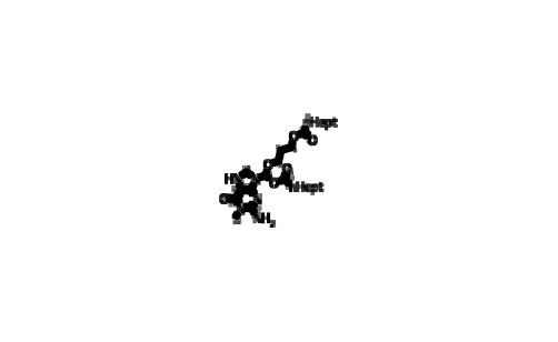 CCCCCCCC(=O)OCCCOC(OC(=O)CCCCCCC)N1CNc2c1nc(N)n(C)c2=O